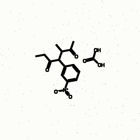 CCC(=O)C(c1cccc([N+](=O)[O-])c1)C(C)C(C)=O.O=C(O)O